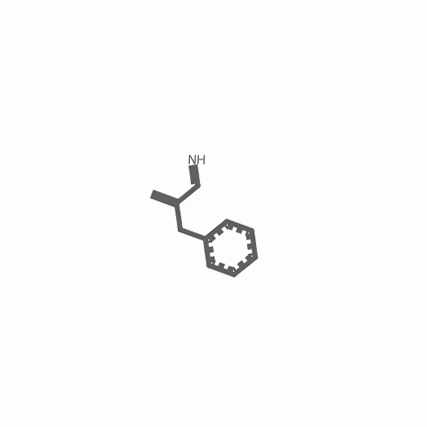 C=C(C=N)Cc1ccccc1